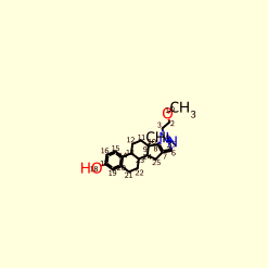 COCCn1ncc2c1[C@@]1(C)CCC3c4ccc(O)cc4CCC3C1C2